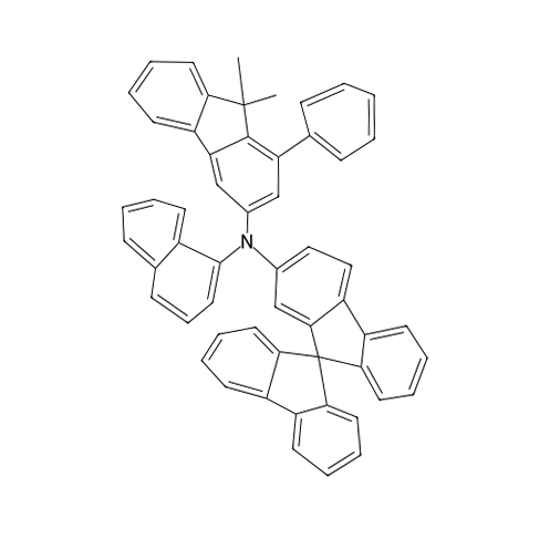 CC1(C)c2ccccc2-c2cc(N(c3ccc4c(c3)C3(c5ccccc5-c5ccccc53)c3ccccc3-4)c3cccc4ccccc34)cc(-c3ccccc3)c21